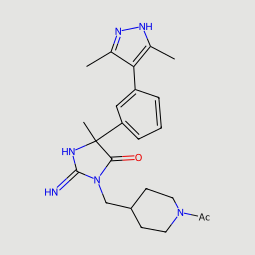 CC(=O)N1CCC(CN2C(=N)NC(C)(c3cccc(-c4c(C)n[nH]c4C)c3)C2=O)CC1